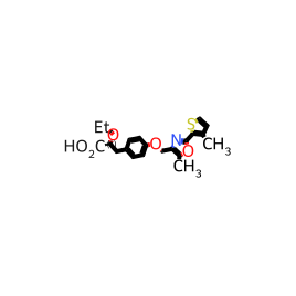 CCO[C@@H](Cc1ccc(OCc2nc(-c3sccc3C)oc2C)cc1)C(=O)O